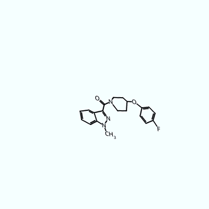 Cn1nc(C(=O)N2CCC(Oc3ccc(F)cc3)CC2)c2ccccc21